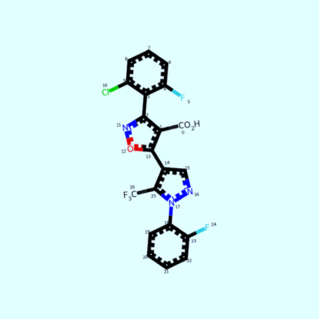 O=C(O)c1c(-c2c(F)cccc2Cl)noc1-c1cnn(-c2ccccc2F)c1C(F)(F)F